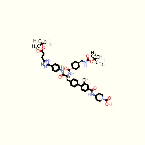 Cc1cc(C(=O)NC2CCN(C(=O)O)CC2)ccc1-c1ccc(C[C@H](NC(=O)[C@H]2CC[C@H](CNC(=O)OC(C)(C)C)CC2)C(=O)Nc2ccc(-c3nnc(CCC(=O)OC(C)(C)C)[nH]3)cc2)cc1